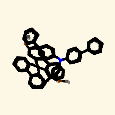 FC(F)(F)Sc1ccc2c(c1)C1(c3cc(SC(F)(F)F)ccc3-2)c2ccccc2-c2cccc(-c3cccc(N(c4ccc(-c5ccccc5)cc4)c4ccc(-c5ccccc5)cc4)c3)c21